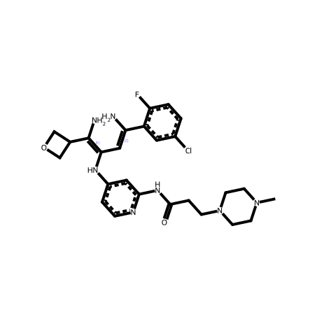 CN1CCN(CCC(=O)Nc2cc(NC(/C=C(\N)c3cc(Cl)ccc3F)=C(/N)C3COC3)ccn2)CC1